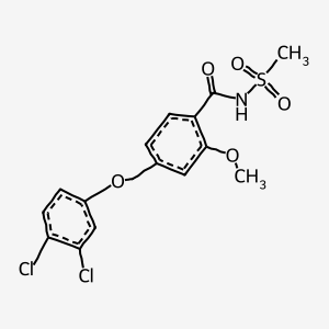 COc1cc(COc2ccc(Cl)c(Cl)c2)ccc1C(=O)NS(C)(=O)=O